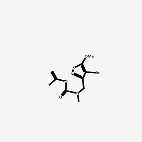 C=C(C)OC(=O)N(C)Cc1nsc(OC)c1Br